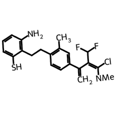 C=C(/C(=C(/Cl)NC)C(F)F)c1ccc(CCc2c(N)cccc2S)c(C)c1